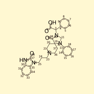 O=C(O)C(c1ccccc1)N1CN(c2ccccc2)C2(CCN(CCCn3c(=O)[nH]c4ccccc43)CC2)C1=O